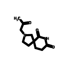 CC(=O)CN1CCC2(CCC(=O)NC2=O)C1